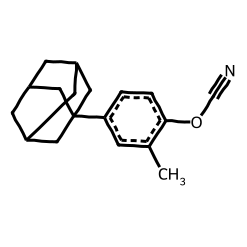 Cc1cc(C23CC4CC(CC(C4)C2)C3)ccc1OC#N